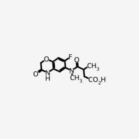 CC(CC(=O)O)C(=O)N(C)c1cc2c(cc1F)OCC(=O)N2